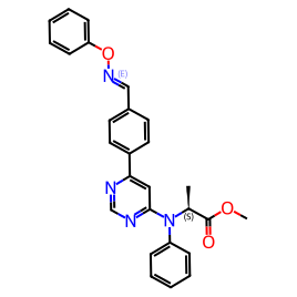 COC(=O)[C@H](C)N(c1ccccc1)c1cc(-c2ccc(/C=N/Oc3ccccc3)cc2)ncn1